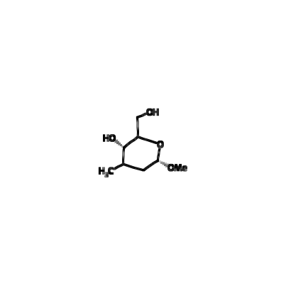 CO[C@@H]1CC(C)[C@H](O)C(CO)O1